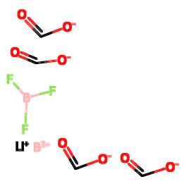 FB(F)F.O=C[O-].O=C[O-].O=C[O-].O=C[O-].[B+3].[Li+]